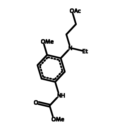 CCN(CCOC(C)=O)c1cc(NC(=O)OC)ccc1OC